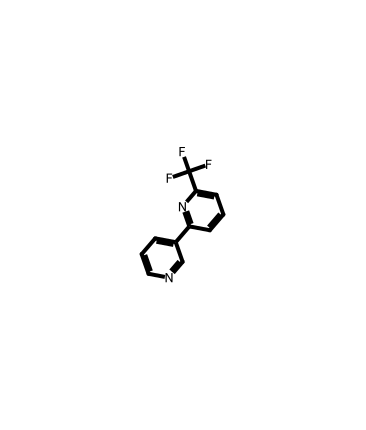 FC(F)(F)c1cccc(-c2cccnc2)n1